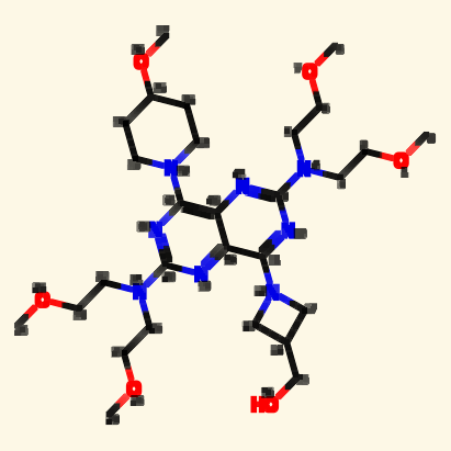 COCCN(CCOC)c1nc(N2CC(CO)C2)c2nc(N(CCOC)CCOC)nc(N3CCC(OC)CC3)c2n1